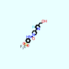 O=C(Nc1ccc(S(=O)(=O)C(F)(F)F)cc1)N1CC=C(c2ncc(CCO)cc2F)CC1